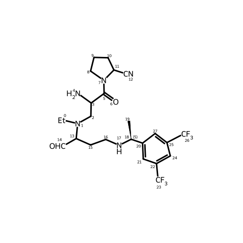 CCN(CC(N)C(=O)N1CCCC1C#N)C(C=O)CCN[C@@H](C)c1cc(C(F)(F)F)cc(C(F)(F)F)c1